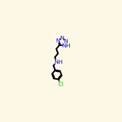 Clc1ccc(CNCCCc2nnn[nH]2)cc1